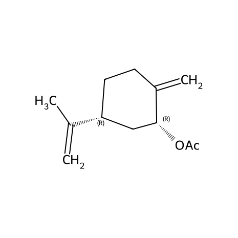 C=C(C)[C@@H]1CCC(=C)[C@H](OC(C)=O)C1